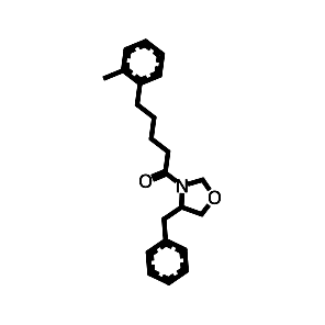 Cc1ccccc1CCCCC(=O)N1COCC1Cc1ccccc1